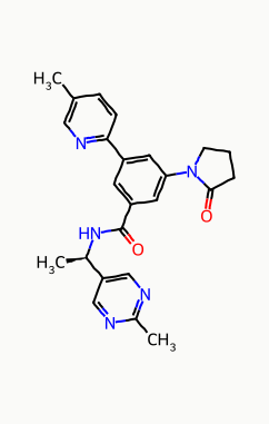 Cc1ccc(-c2cc(C(=O)N[C@H](C)c3cnc(C)nc3)cc(N3CCCC3=O)c2)nc1